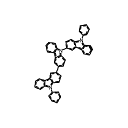 c1ccc2c3cc(-n4c5ccccc5c5cc(-c6ccc7c(c6)c6ccccc6n7-c6ccccc6)ccc54)ccc3n(-c3ccccc3)c2c#1